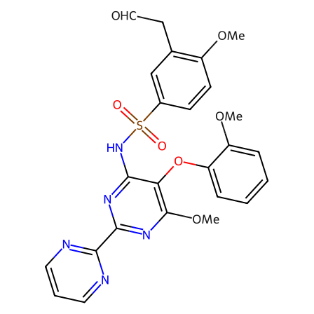 COc1ccc(S(=O)(=O)Nc2nc(-c3ncccn3)nc(OC)c2Oc2ccccc2OC)cc1CC=O